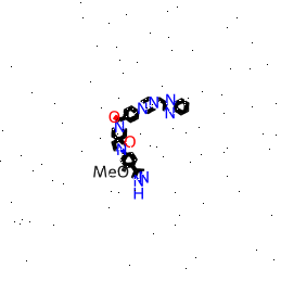 COc1cc(N2CCC3(CCN(C(=O)c4ccc(N5CCN(Cc6cnc7ccccc7n6)CC5)cc4)CC3)C2=O)ccc1-c1cn[nH]c1